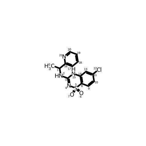 CC(NC1=NS(=O)(=O)c2ccc(Cl)cc2N1)c1ccccn1